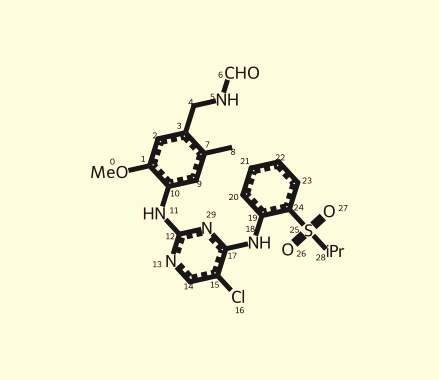 COc1cc(CNC=O)c(C)cc1Nc1ncc(Cl)c(Nc2ccccc2S(=O)(=O)C(C)C)n1